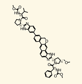 COC[C@H]1C[C@@H](c2nc3ccc4cc5c(cc4c3[nH]2)OCc2cc(-c3ccc4nc([C@@H]6CCCN6C(=O)[C@@H](NC(=O)OC)C(C)C)[nH]c4c3)ccc2-5)N(C(=O)[C@H](NC(=O)OC)c2ccccc2)C1